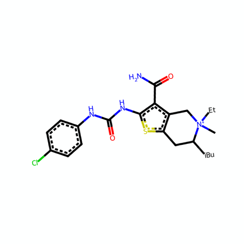 CCC(C)C1Cc2sc(NC(=O)Nc3ccc(Cl)cc3)c(C(N)=O)c2C[N+]1(C)CC